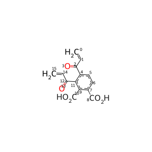 C=CC(=O)c1ccc(C(=O)O)c(C(=O)O)c1C(=O)C=C